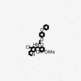 COc1ccc(C(NC(=O)COc2ccc(Oc3ccccc3)cc2)c2cc(Cl)c3cccnc3c2O)cc1